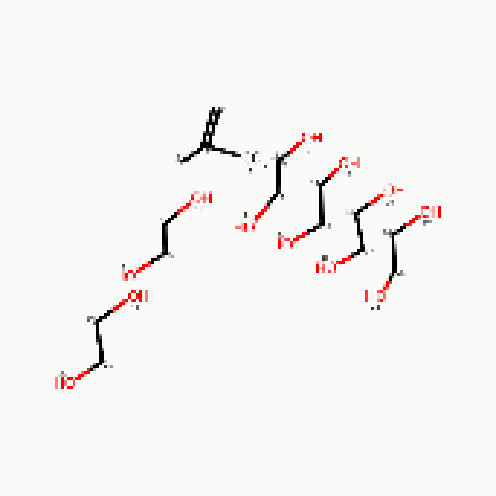 C=C(C)C(=O)O.OCCO.OCCO.OCCO.OCCO.OCCO.OCCO